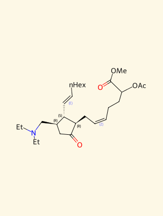 CCCCCC/C=C/[C@H]1[C@H](CN(CC)CC)CC(=O)[C@@H]1C/C=C\CCC(OC(C)=O)C(=O)OC